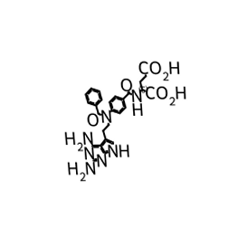 Nc1nc(N)c2c(CCN(C(=O)c3ccccc3)c3ccc(C(=O)N[C@@H](CCC(=O)O)C(=O)O)cc3)c[nH]c2n1